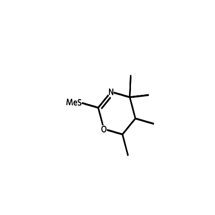 CSC1=NC(C)(C)C(C)C(C)O1